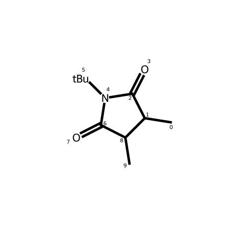 CC1C(=O)N(C(C)(C)C)C(=O)C1C